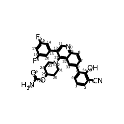 N#Cc1cccc(-c2ccc3ncc(-c4cc(F)cc(F)c4)c(N4CCC(OC(N)=O)CC4)c3c2)c1O